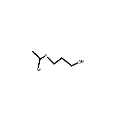 CC(S)SCCCO